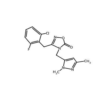 Cc1cc(Cn2c(Cc3c(F)cccc3Cl)noc2=O)n(C)n1